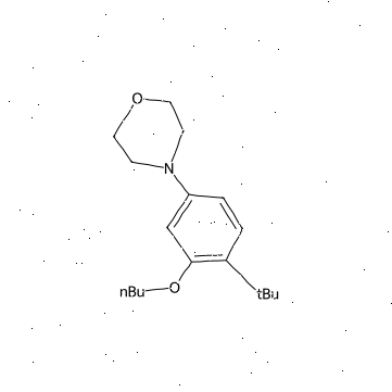 CCCCOc1cc(N2CCOCC2)ccc1C(C)(C)C